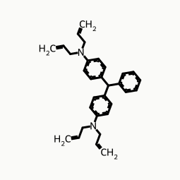 C=CCN(CC=C)c1ccc(C(c2ccccc2)c2ccc(N(CC=C)CC=C)cc2)cc1